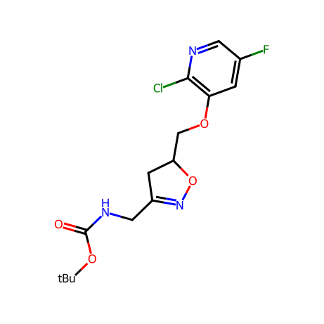 CC(C)(C)OC(=O)NCC1=NOC(COc2cc(F)cnc2Cl)C1